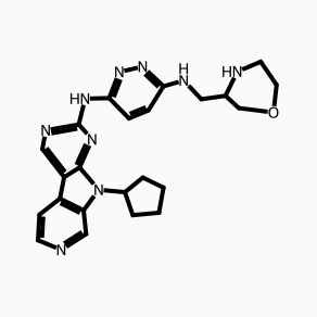 c1cc2c3cnc(Nc4ccc(NCC5COCCN5)nn4)nc3n(C3CCCC3)c2cn1